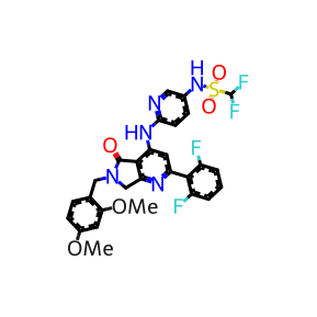 COc1ccc(CN2Cc3nc(-c4c(F)cccc4F)cc(Nc4ccc(NS(=O)(=O)C(F)F)cn4)c3C2=O)c(OC)c1